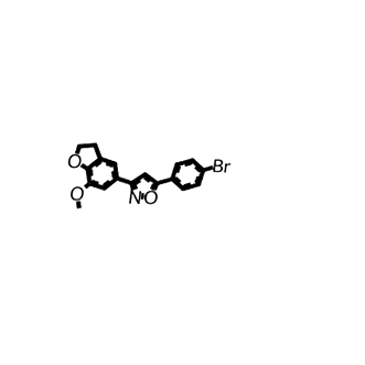 COc1cc(-c2cc(-c3ccc(Br)cc3)on2)cc2c1OCC2